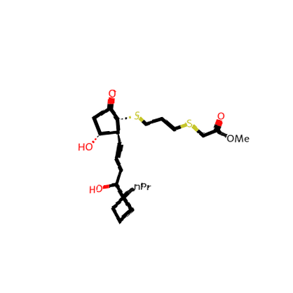 CCCC1(C(O)CC=C[C@H]2[C@H](O)CC(=O)[C@@H]2SCCCSCC(=O)OC)CCC1